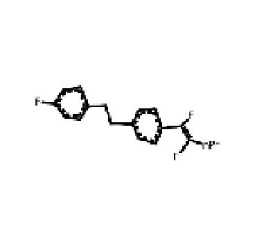 CCCC(F)=C(F)c1ccc(CCc2ccc(F)cc2)cc1